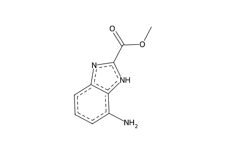 COC(=O)c1nc2cccc(N)c2[nH]1